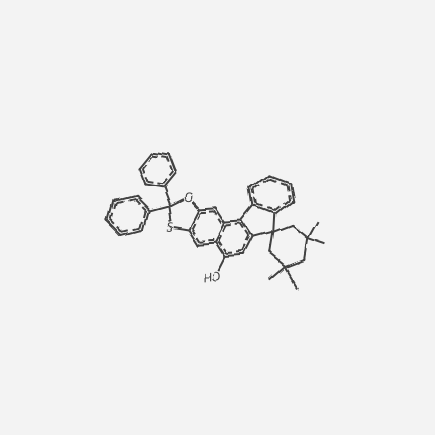 CC1(C)CC(C)(C)CC2(C1)c1ccccc1-c1c2cc(O)c2cc3c(cc12)OC(c1ccccc1)(c1ccccc1)S3